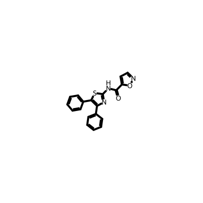 O=C(Nc1nc(-c2ccccc2)c(-c2ccccc2)s1)c1ccno1